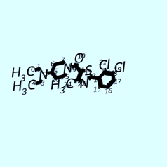 CCN(CC)C1CCN(C(=O)c2sc(-c3cccc(Cl)c3Cl)nc2C)CC1